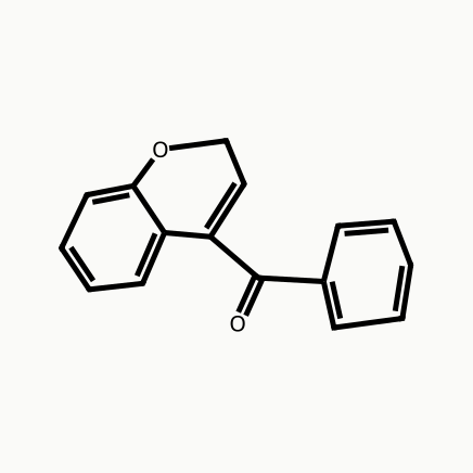 O=C(C1=CCOc2ccccc21)c1ccccc1